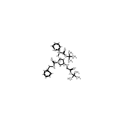 CC(C)(C)OC(=O)CO[C@@H]1C[C@@H](CN(C(=O)OC(C)(C)C)c2ccccn2)N(C(=O)OCc2ccccc2)C1